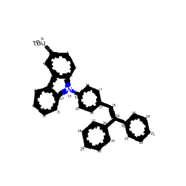 CC(C)(C)c1ccc2c(c1)c1ccccc1n2-c1ccc(C=C(c2ccccc2)c2ccccc2)cc1